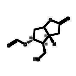 O=CO[C@@H]1CC2OC(=O)C[C@@H]2[C@H]1CO